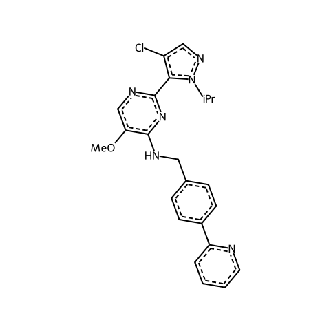 COc1cnc(-c2c(Cl)cnn2C(C)C)nc1NCc1ccc(-c2ccccn2)cc1